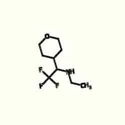 CCNC(C1CCOCC1)C(F)(F)F